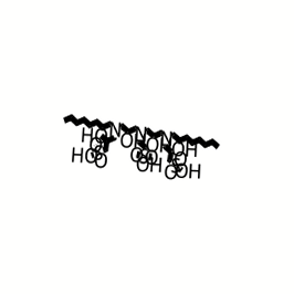 CCCCCCCCN(CC(O)CN(CCS(=O)(=O)O)CC(O)CN(CCCCCCCC)CC(O)CS(=O)(=O)O)CC(O)CS(=O)(=O)O